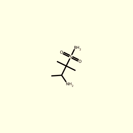 BS(=O)(=O)C(C)(C)C(C)N